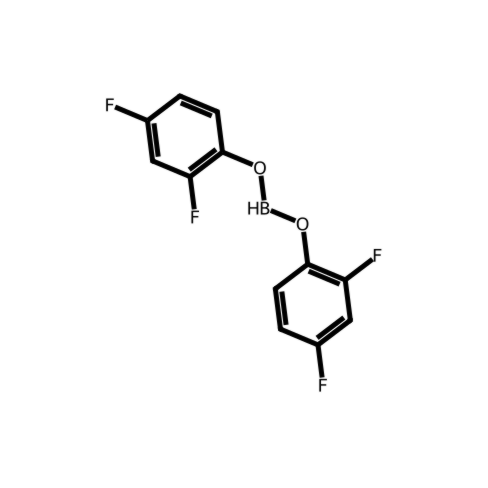 Fc1ccc(OBOc2ccc(F)cc2F)c(F)c1